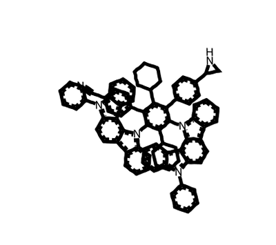 N#Cc1ccc(-c2c(C3CCCCC3)c(-c3ccc(C4CN4)cc3)c(-n3c4ccccc4c4ccc5c(c6ccccc6n5-c5ccccc5)c43)c(C3CCCCC3)c2-n2c3ccccc3c3ccc4c(c5ccccc5n4-c4ccccc4)c32)cc1